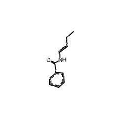 CCC=CNC(=O)c1ccccc1